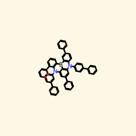 c1ccc(-c2ccc(N3c4ccc(-c5ccccc5)cc4B4c5cccc(-c6ccccc6)c5N(c5cccc(-c6ccccc6)c5)c5cc(-c6ccccc6)cc3c54)cc2)cc1